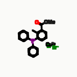 COC(=O)c1cccc(P(c2ccccc2)c2ccccc2)c1C.[Br-].[Br-].[Cu+2]